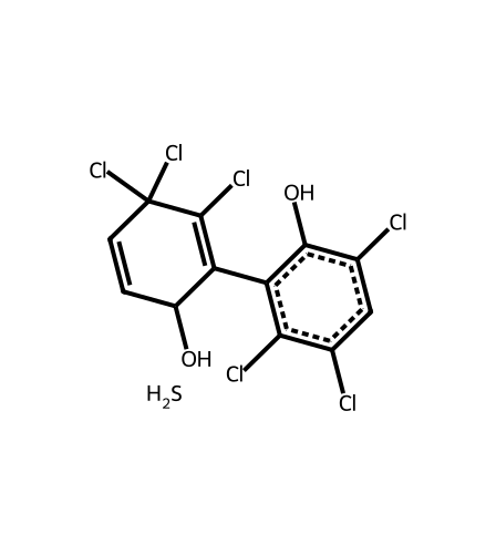 Oc1c(Cl)cc(Cl)c(Cl)c1C1=C(Cl)C(Cl)(Cl)C=CC1O.S